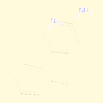 Nc1ccc(-c2cc[c]cc2Cl)cn1